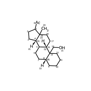 CC(=O)C1CC[C@H]2C3CC[C@H]4CCCCC4(CO)[C@H]3CCC12C